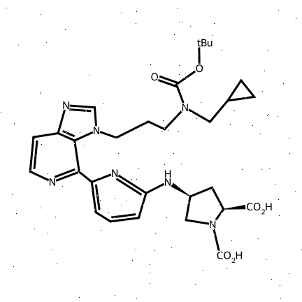 CC(C)(C)OC(=O)N(CCCn1cnc2ccnc(-c3cccc(N[C@H]4C[C@@H](C(=O)O)N(C(=O)O)C4)n3)c21)CC1CC1